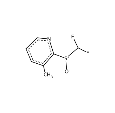 Cc1cccnc1[S+]([O-])C(F)F